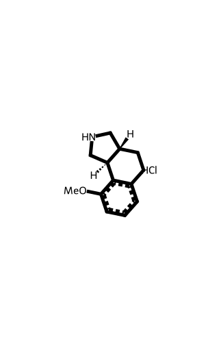 COc1cccc2c1[C@H]1CNC[C@@H]1CC2.Cl